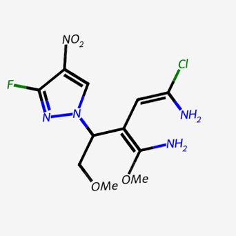 COCC(C(/C=C(\N)Cl)=C(/N)OC)n1cc([N+](=O)[O-])c(F)n1